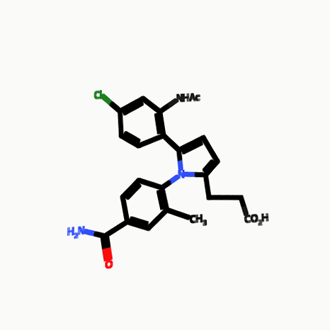 CC(=O)Nc1cc(Cl)ccc1-c1ccc(CCC(=O)O)n1-c1ccc(C(N)=O)cc1C